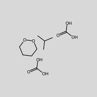 C1CCOOC1.CC(C)C.O=C(O)O.O=C(O)O